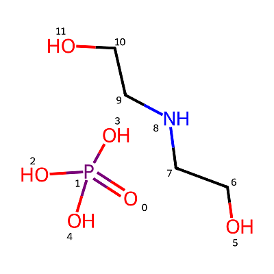 O=P(O)(O)O.OCCNCCO